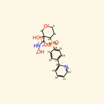 O=C(NO)C1(O)COCCC1S(=O)(=O)c1ccc(-c2ccccn2)cc1